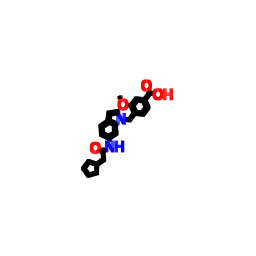 COc1cc(C(=O)O)ccc1Cn1ccc2ccc(NC(=O)CC3CCCC3)cc21